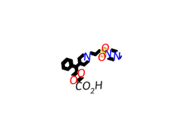 CN1CCN(S(=O)(=O)CCCN2CCC(C(C3=CC=CCC3)C3=COC(C(=O)O)=CO3)CC2)CC1